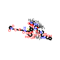 CCC(C)[C@@H]([C@@H](CC(=O)N1CCC[C@H]1[C@H](OC)[C@@H](C)C(=O)NC(Cc1ccccc1)C(=O)O)OC)N(C)C(=O)[C@@H](NC(=O)[C@H](C(C)C)N(C)C(=O)OCc1ccc(O[C@@H]2O[C@H](CO)[C@H](O)[C@H](O)[C@H]2O)c2cc(CNC(=O)CCOCCOCCN3C(=O)C=CC3=O)sc12)C(C)C